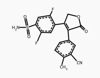 Cc1ccc(C2=C(c3cc(F)c(S(N)(=O)=O)cc3F)COC2=O)cc1C#N